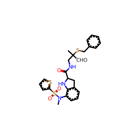 CN(c1cccc2c1NC(C(=O)NCC(C)(C=O)SCc1ccccc1)C2)S(=O)(=O)c1cccs1